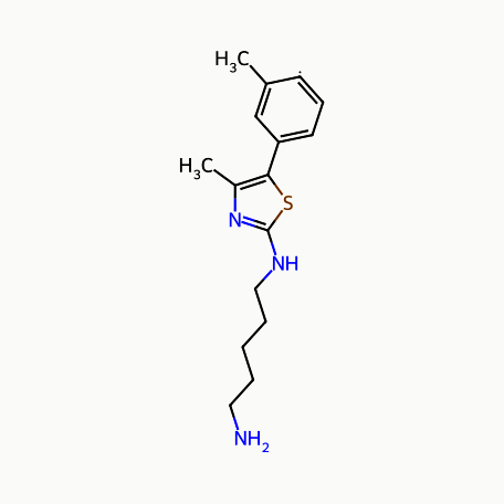 Cc1[c]ccc(-c2sc(NCCCCCN)nc2C)c1